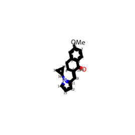 COc1ccc2c(c1)CC/C(=C\c1cccn1C1CC1)C2=O